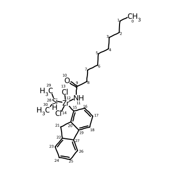 CCCCCCCCCC(=O)[NH][Zr]([Cl])([Cl])([c]1cccc2c1Cc1ccccc1-2)[SiH](C)C